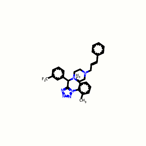 Cc1cccc(C)c1-n1nnnc1C(c1cccc(C(F)(F)F)c1)N1CCN(CC=Cc2ccccc2)CC1